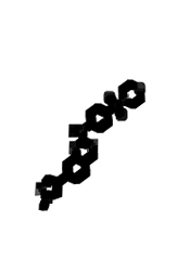 Cn1cc(-c2ccc3cnc(Nc4ccc(S(=O)(=O)N5CCOCC5)cc4)nc3c2)cn1